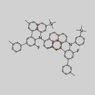 Cc1cccc(-c2cc(F)c(N(c3cccc([Si](C)(C)C)c3)c3ccc4ccc5c(N(c6cccc([Si](C)(C)C)c6)c6c(F)cc(-c7cccc(C)c7)cc6-c6cccc(C)c6)ccc6ccc3c4c65)c(-c3cccc(C)c3)c2)c1